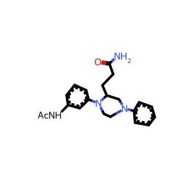 CC(=O)Nc1cccc(N2CCN(c3ccccc3)CC2CCC(N)=O)c1